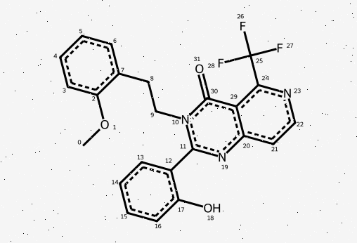 COc1ccccc1CCn1c(-c2ccccc2O)nc2ccnc(C(F)(F)F)c2c1=O